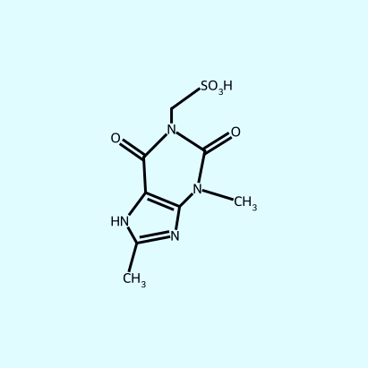 Cc1nc2c([nH]1)c(=O)n(CS(=O)(=O)O)c(=O)n2C